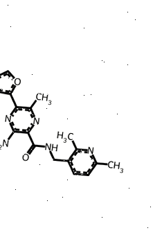 Cc1ccc(CNC(=O)c2nc(C)c(-c3ncco3)nc2N)c(C)n1